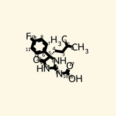 CC(C)CC[C@]1(c2ccc(F)cc2)N/C(=N\C(=O)O)NC1=O